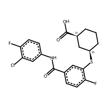 O=C(Nc1ccc(F)c(Cl)c1)c1ccc(F)c(S[C@@H]2CCC[C@H](C(=O)O)C2)c1